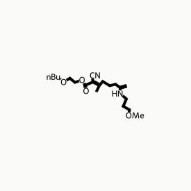 C=C(CCC/C(C)=C(\C#N)C(=O)OCCOCCCC)NCCCOC